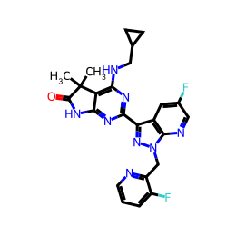 CC1(C)C(=O)Nc2nc(-c3nn(Cc4ncccc4F)c4ncc(F)cc34)nc(NCC3CC3)c21